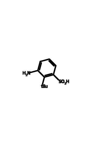 CC(C)(C)c1c(N)cccc1S(=O)(=O)O